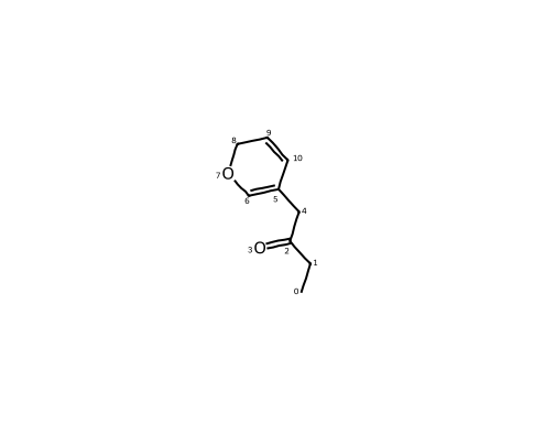 CCC(=O)CC1=COCC=C1